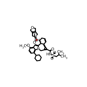 COc1ccc(C2CCCCC2)c2c1cc1n2CC2=C(C(=O)NS(=O)(=O)CC(C)C)C2=C2C=CC[C@@H](C(=O)N3CC45COCC4(CN(C)C5)C3)C21